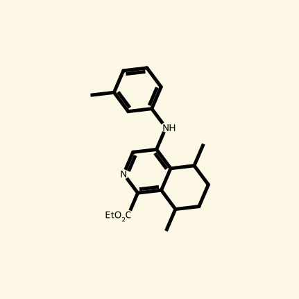 CCOC(=O)c1ncc(Nc2cccc(C)c2)c2c1C(C)CCC2C